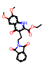 CCOC(=O)c1[nH]c2cc(OC)c(OC)cc2c(=O)c1CCN1C(=O)c2ccccc2C1=O